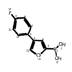 OB(O)c1cc(-c2ccc(F)cc2)co1